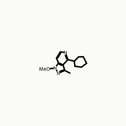 COn1nc(C)c2c(C3CCCCC3)nccc21